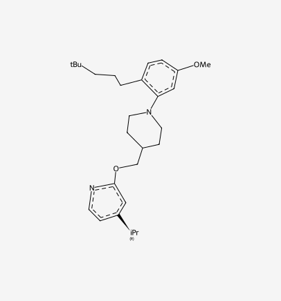 [CH2][C@H](C)c1ccnc(OCC2CCN(c3cc(OC)ccc3CCCC(C)(C)C)CC2)c1